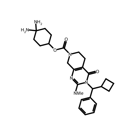 CNc1nc2c(c(=O)n1C(c1ccccc1)C1CCC1)CCN(C(=O)OC1CCC(N)(N)CC1)C2